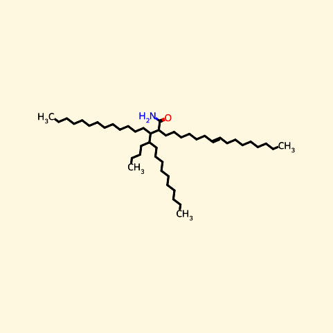 CCCCCCCCC=CCCCCCCC(C(N)=O)C(CCCCCCCCCCCCC)C(CCCC)CCCCCCCCCC